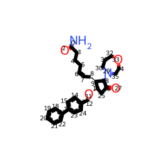 NC(=O)CCC/C=C\C[C@H]1[C@@H](OCc2ccc(-c3ccccc3)cc2)CC(=O)[C@@H]1N1CCCOCC1